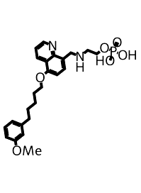 COc1cccc(CCCCCOc2ccc(CNCCOP(=O)(O)O)c3ncccc23)c1